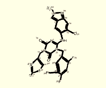 Cn1cc2cc(Nc3nc(=O)n(Cc4csc(Cl)n4)c(=O)n3Cc3cc(F)c(F)cc3F)c(Cl)cc2n1